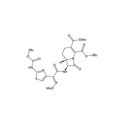 CON=C(C(=O)N[C@@H]1C(=O)N2C(C(=O)OC(C)(C)C)=C(C(=O)OC)CC[C@@H]12)c1csc(NC(=O)OC(C)(C)C)n1